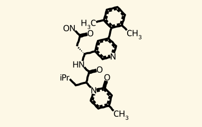 Cc1ccn(C(CC(C)C)C(=O)N[C@H](CC(=O)N=O)c2cncc(-c3c(C)cccc3C)c2)c(=O)c1